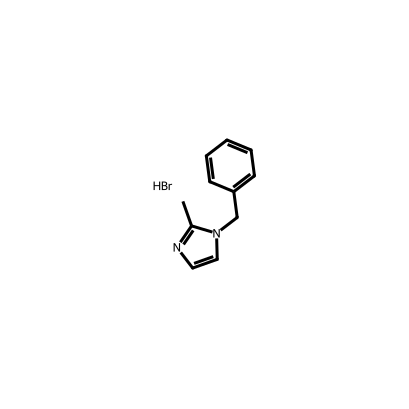 Br.Cc1nccn1Cc1ccccc1